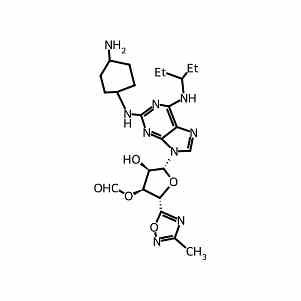 CCC(CC)Nc1nc(NC2CCC(N)CC2)nc2c1ncn2[C@@H]1O[C@H](c2nc(C)no2)[C@@H](OC=O)[C@H]1O